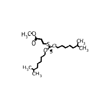 COC(=O)CCSP(=S)(OCCCCCC(C)C)OCCCCCC(C)C